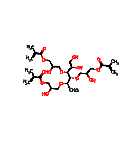 C=C(C)C(=O)OCC(O)CO[C@@H]([C@H](OCC(O)COC(=O)C(=C)C)[C@@H](C=O)OCC(O)COC(=O)C(=C)C)[C@H](O)CO